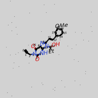 C#CCn1c(=O)[nH]c2c(nc(C=Cc3cccc(OC)c3)n2C(O)CC)c1=O